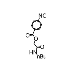 [C-]#[N+]c1ccc(C(=O)OCC(=O)NCCCC)cc1